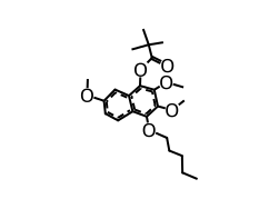 CCCCCOc1c(OC)c(OC)c(OC(=O)C(C)(C)C)c2cc(OC)ccc12